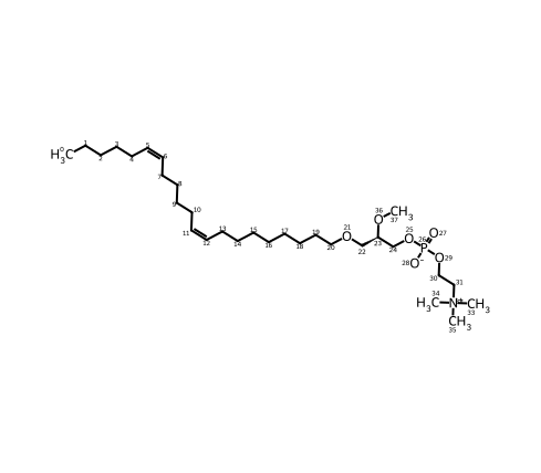 CCCCC/C=C\CCCC/C=C\CCCCCCCCOC[C@H](COP(=O)([O-])OCC[N+](C)(C)C)OC